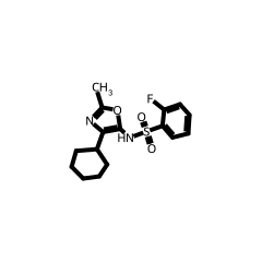 Cc1nc(C2CCCCC2)c(NS(=O)(=O)c2ccccc2F)o1